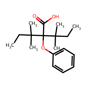 CCC(C)(C)C(Oc1ccccc1)(C(=O)O)C(C)(C)CC